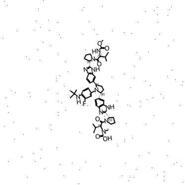 COC(=O)N[C@H](C(=O)N1CCC[C@H]1c1nc2ccc([C@H]3CC[C@H](c4ccc5nc([C@@H]6CCCN6C(=O)[C@H](C(C)C)N(C)C(=O)O)[nH]c5c4)N3c3ccc(NC(C)(C)C)c(F)c3)cc2[nH]1)C(C)C